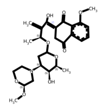 C=C(/C(O)=C1\CC(=O)c2cccc(OC)c2C1=O)[C@H](C)OC1C[C@H](N2CCO[C@H](OC)C2)[C@H](O)[C@H](C)O1